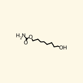 NC(=O)OCCCCCCCCO